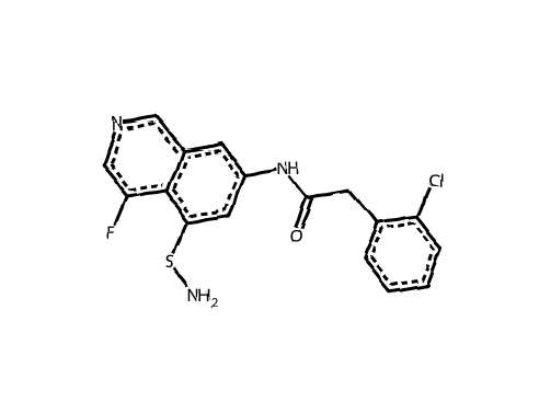 NSc1cc(NC(=O)Cc2ccccc2Cl)cc2cncc(F)c12